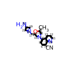 C[C@@H]1CN(c2ccc(C#N)c3ncccc23)C[C@@H](CN2CC(N)C2)O1